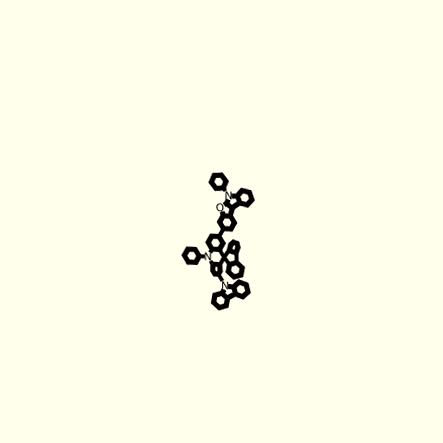 c1ccc(N2c3ccc(-c4ccc5c(c4)oc4c5c5ccccc5n4-c4ccccc4)cc3C3(c4ccccc4-c4ccccc43)c3cc(-n4c5ccccc5c5ccccc54)ccc32)cc1